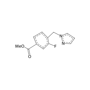 COC(=O)c1ccc(Cn2cccn2)c(F)c1